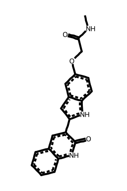 CNC(=O)COc1ccc2[nH]c(-c3cc4ccccc4[nH]c3=O)cc2c1